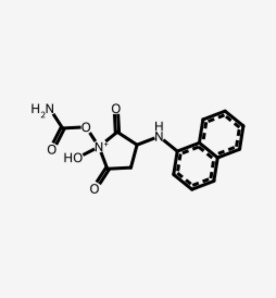 NC(=O)O[N+]1(O)C(=O)CC(Nc2cccc3ccccc23)C1=O